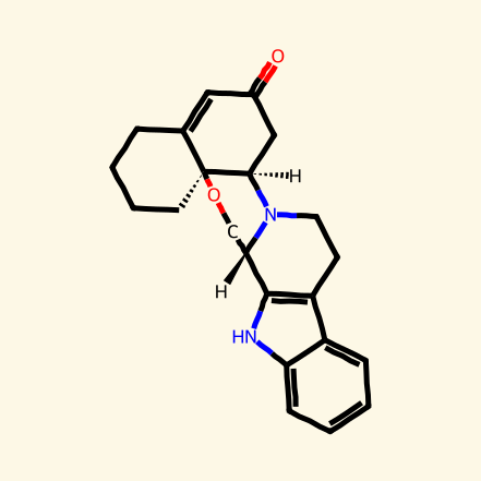 O=C1C=C2CCCC[C@]23OC[C@H]2c4[nH]c5ccccc5c4CCN2[C@@H]3C1